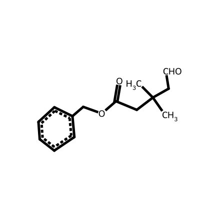 CC(C)(CC=O)CC(=O)OCc1ccccc1